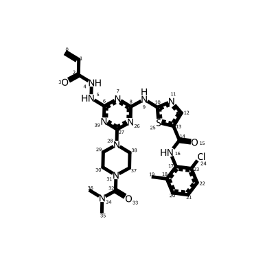 C=CC(=O)NNc1nc(Nc2ncc(C(=O)Nc3c(C)cccc3Cl)s2)nc(N2CCN(C(=O)N(C)C)CC2)n1